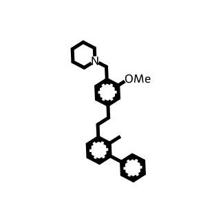 COc1cc(CCc2cccc(-c3ccccc3)c2C)ccc1CN1CCCCC1